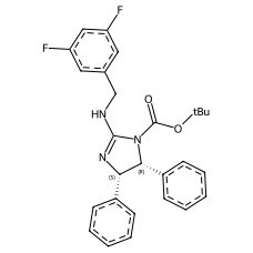 CC(C)(C)OC(=O)N1C(NCc2cc(F)cc(F)c2)=N[C@@H](c2ccccc2)[C@H]1c1ccccc1